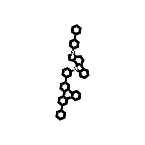 c1ccc(-c2ccc(-n3ccc4c3ccc3c5ccccc5n(-c5cccc(-c6ccc7c8ccc(-c9ccccc9)cc8c8ccccc8c7c6)c5)c34)cc2)cc1